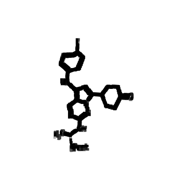 CCCCC[C@H](C)Nc1ncc2c(Nc3ccc(F)cc3)cc(C3CCC(=O)CC3)n2n1